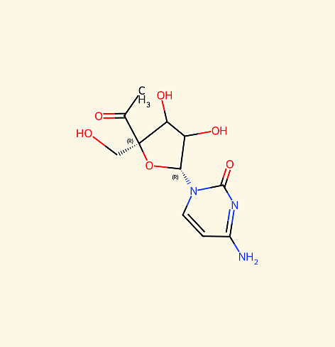 CC(=O)[C@]1(CO)O[C@@H](n2ccc(N)nc2=O)C(O)C1O